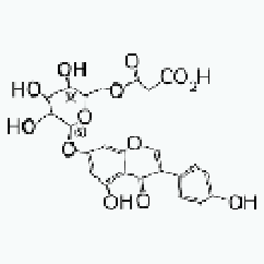 O=C(O)CC(=O)OCC1O[C@@H](Oc2cc(O)c3c(=O)c(-c4ccc(O)cc4)coc3c2)C(O)C(O)[C@H]1O